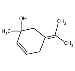 CC(C)=C1CC=CC(C)(O)C1